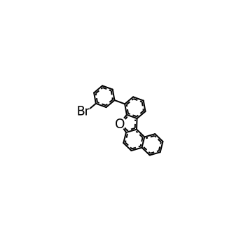 Brc1cccc(-c2cccc3c2oc2ccc4ccccc4c23)c1